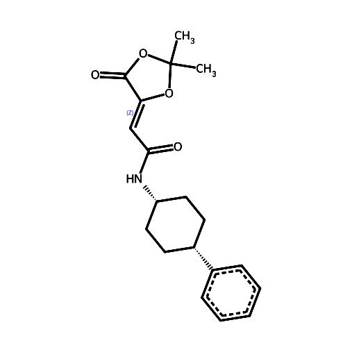 CC1(C)OC(=O)/C(=C/C(=O)N[C@H]2CC[C@@H](c3ccccc3)CC2)O1